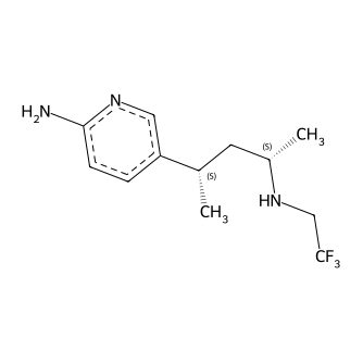 C[C@@H](C[C@H](C)c1ccc(N)nc1)NCC(F)(F)F